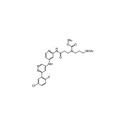 CC(=O)NCCCN(CCC(=O)Nc1cc(Nc2cnnc(-c3cc(Cl)ccc3F)c2)ccn1)C(=O)OC(C)(C)C